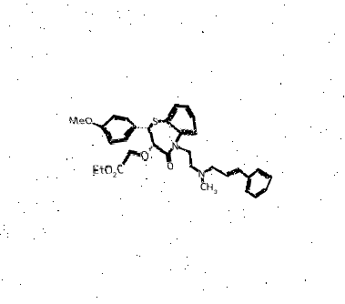 CCOC(=O)CO[C@H]1C(=O)N(CCN(C)CC=Cc2ccccc2)c2ccccc2S[C@H]1c1ccc(OC)cc1